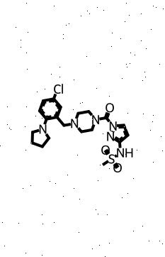 CS(=O)(=O)Nc1ccn(C(=O)N2CCN(Cc3cc(Cl)ccc3N3CCCC3)CC2)n1